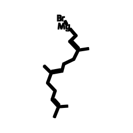 CC(C)=CCCC(C)=CCCC(C)=C[CH2][Mg][Br]